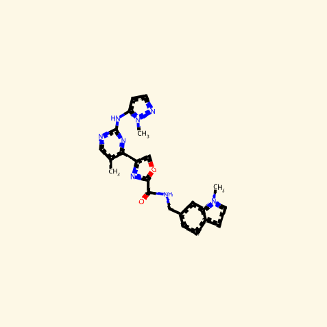 Cc1cnc(Nc2ccnn2C)nc1-c1coc(C(=O)NCc2ccc3ccn(C)c3c2)n1